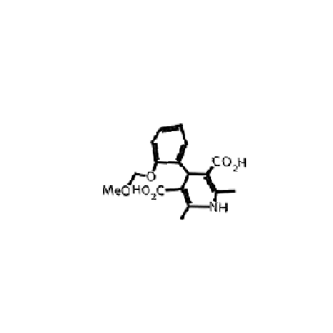 COCOc1ccccc1C1C(C(=O)O)=C(C)NC(C)=C1C(=O)O